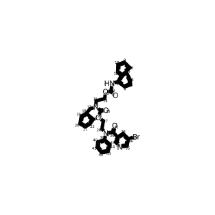 O=C(Nc1cccc2ccccc12)OCCN(Cc1ccccc1)C(=O)OCCN(C(=O)c1cncc(Br)c1)c1ccccc1